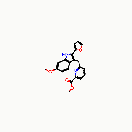 COC(=O)c1cccc(Cc2c(-c3ccco3)[nH]c3cc(OC)ccc23)n1